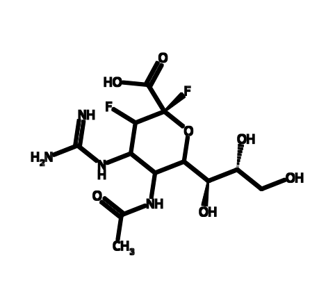 CC(=O)NC1C(NC(=N)N)C(F)[C@](F)(C(=O)O)OC1[C@H](O)[C@H](O)CO